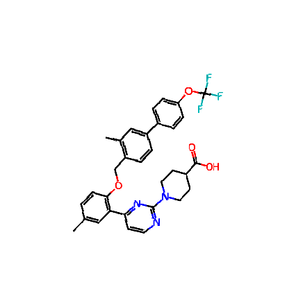 Cc1ccc(OCc2ccc(-c3ccc(OC(F)(F)F)cc3)cc2C)c(-c2ccnc(N3CCC(C(=O)O)CC3)n2)c1